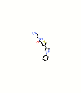 NCCNC(=O)c1cc(-c2cnn(-c3ccccc3)c2)cs1